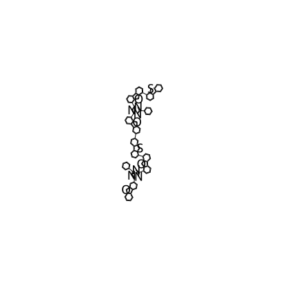 c1ccc(-c2nc(-c3ccc4c(c3)oc3ccccc34)nc(-c3cccc4c3oc3c(-c5cccc6c5sc5cc(-c7ccc8oc9c(-c%10nc(-c%11ccccc%11)nc(-c%11cccc%12c%11oc%11c(-c%13cccc%14c%13sc%13ccccc%13%14)cccc%11%12)n%10)cccc9c8c7)ccc56)cccc34)n2)cc1